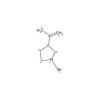 C=C(C)C1CCN(C(C)C)C1